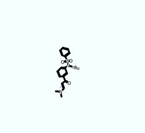 CCCCN(c1cccc(C(=O)/C=C/N(C)C)c1)S(=O)(=O)c1ccccc1